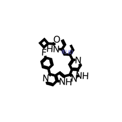 C=C/C(=C\C(=C/C)c1cc2c(-c3cc4c(-c5ccc(F)cc5)nccc4[nH]3)n[nH]c2cn1)NC(=O)C1CCC1